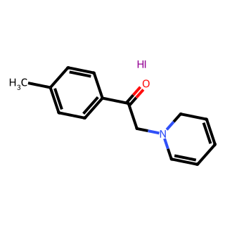 Cc1ccc(C(=O)CN2C=CC=CC2)cc1.I